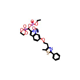 CCOP(=O)(OCC)OC(c1cc2ccc(OCCc3nc(-c4ccccc4)sc3C)cc2[nH]1)P1(=O)OCCO1